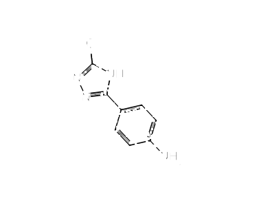 Nc1ccc(-c2nnc(Cl)[nH]2)cc1